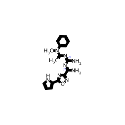 C=C(/N=C(N)\N=C(/N)c1noc(-c2ccc[nH]2)n1)N(C)c1ccccc1